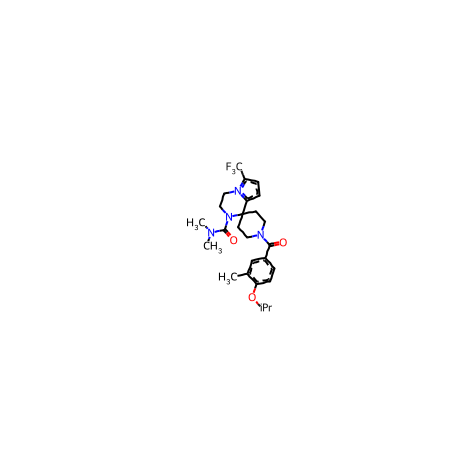 Cc1cc(C(=O)N2CCC3(CC2)c2ccc(C(F)(F)F)n2CCN3C(=O)N(C)C)ccc1OC(C)C